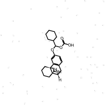 O=C(O)OC(Oc1ccc2c(c1)[C@@]13CCCC[C@H]1[C@@H](C2)NCC3)C1CCCCC1